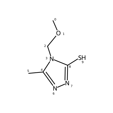 COCn1c(C)nnc1S